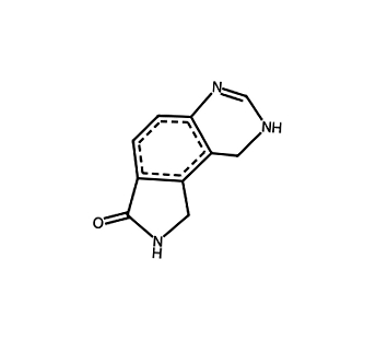 O=C1NCc2c1ccc1c2CNC=N1